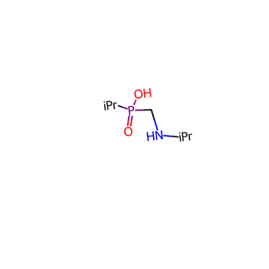 CC(C)NCP(=O)(O)C(C)C